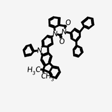 CC1(C)c2ccccc2-c2cc3c4cc(-n5c(=O)n(-c6cc(-c7ccccc7)cc(-c7ccccc7)c6)c(=O)c6ccccc65)ccc4n(-c4ccccc4)c3cc21